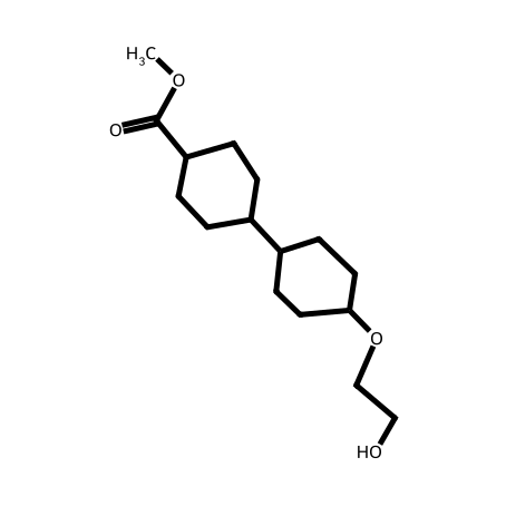 COC(=O)C1CCC(C2CCC(OCCO)CC2)CC1